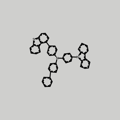 c1ccc(-c2ccc(N(c3ccc(-c4cccc5sc6ccccc6c45)cc3)c3ccc(-n4c5ccccc5c5ccccc54)cc3)cc2)cc1